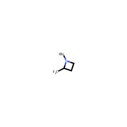 CC(C)(C)N1CCC1C(F)(F)F